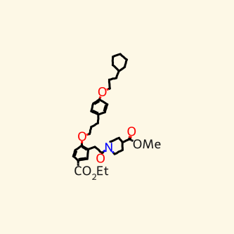 CCOC(=O)c1ccc(OCCCc2ccc(OCCCC3CCCCC3)cc2)c(CC(=O)N2CCC(C(=O)OC)CC2)c1